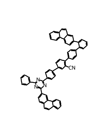 N#Cc1cc(-c2ccc(-c3nc(-c4ccccc4)nc(-c4ccc5ccc6ccccc6c5c4)n3)cc2)ccc1-c1ccc(-c2ccccc2-c2ccc3c(ccc4ccccc43)c2)cc1